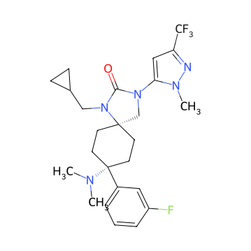 Cn1nc(C(F)(F)F)cc1N1C[C@]2(CC[C@@](c3cccc(F)c3)(N(C)C)CC2)N(CC2CC2)C1=O